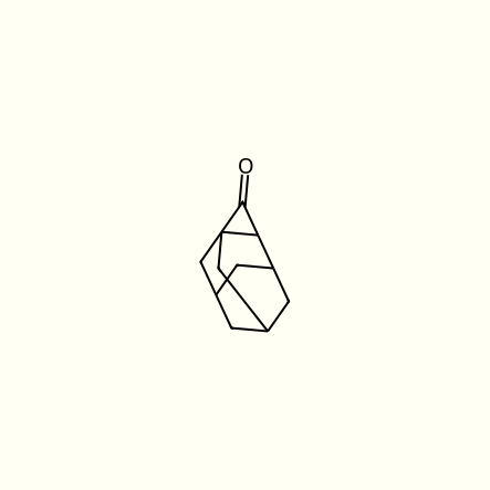 O=C1C2C3CC4CC(C3)CC12C4